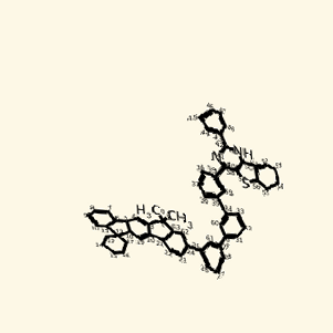 CC1(C)C2=CC3C4C=CC=CC4C4(CCCCC4)C3C=C2C2C=CC(c3cccc(-c4cccc(-c5cccc(C6=NC(c7ccccc7)NC7C8=CCCCC8SC67)c5)c4)c3)CC21